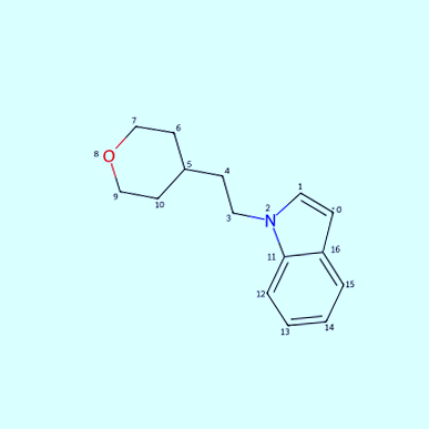 [c]1cn(CCC2CCOCC2)c2ccccc12